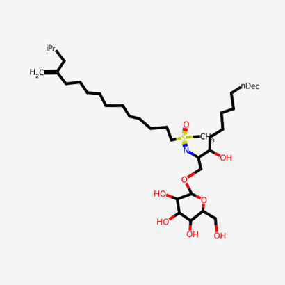 C=C(CCCCCCCCCCCS(C)(=O)=NC(COC1OC(CO)C(O)C(O)C1O)C(O)CCCCCCCCCCCCCCC)CC(C)C